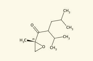 CC(C)CC(C(=O)[C@@]1(C)CO1)C(C)C